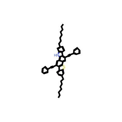 CCCCCCCCc1ccc2c(c1)[nH]c1c3cc(C#Cc4ccccc4)c4c5ccc(CCCCCCCC)cc5sc4c3cc(C#Cc3ccccc3)c21